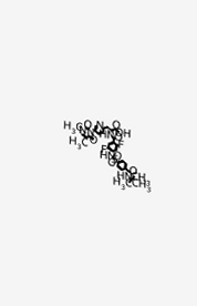 Cc1cn(C)c(=O)n(-c2ccc(C[C@H](NC(=O)c3cc(F)c(NS(=O)(=O)c4ccc(C(=O)NC(C)(C)C)cc4)cc3F)C(=O)O)nc2)c1=O